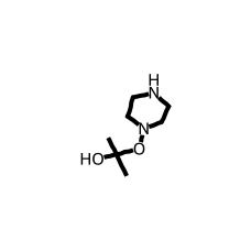 CC(C)(O)ON1CCNCC1